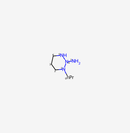 CCCN1CCCNN1N